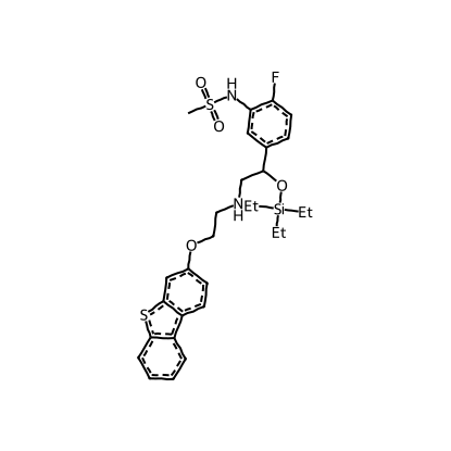 CC[Si](CC)(CC)OC(CNCCOc1ccc2c(c1)sc1ccccc12)c1ccc(F)c(NS(C)(=O)=O)c1